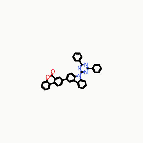 O=c1oc2ccccc2c2ccc(-c3ccc4c(c3)c3ccccc3n4-c3nc(-c4ccccc4)nc(-c4ccccc4)n3)cc12